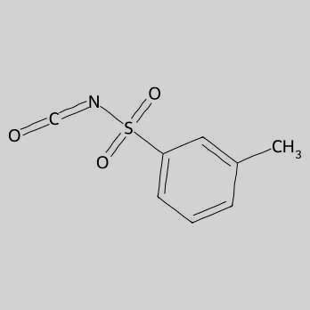 Cc1cccc(S(=O)(=O)N=C=O)c1